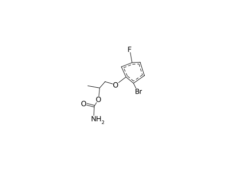 CC(COc1cc(F)ccc1Br)OC(N)=O